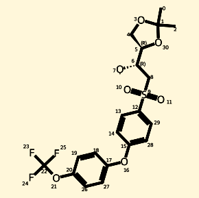 CC1(C)OC[C@H]([C@@H]([O])CS(=O)(=O)c2ccc(Oc3ccc(OC(F)(F)F)cc3)cc2)O1